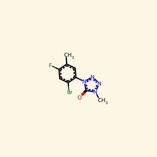 Cc1cc(-n2nnn(C)c2=O)c(Br)cc1F